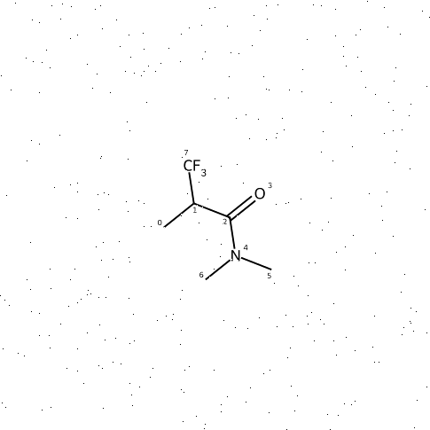 CC(C(=O)N(C)C)C(F)(F)F